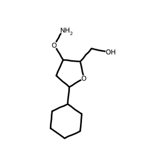 NOC1CC(C2CCCCC2)OC1CO